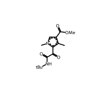 COC(=O)c1cn(C)c(C(=O)C(=O)NC(C)(C)C)c1C